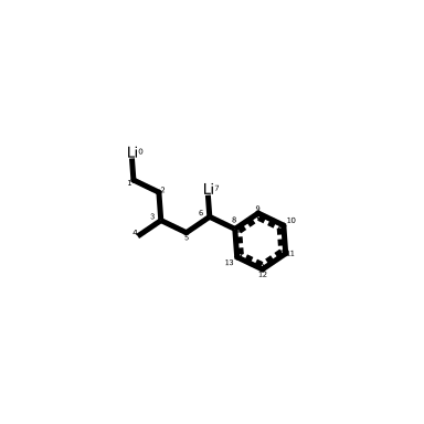 [Li][CH2]CC(C)C[CH]([Li])c1ccccc1